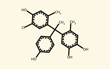 Cc1cc(O)c(O)cc1C(C)(c1ccc(O)cc1)c1cc(Cl)c(O)cc1C